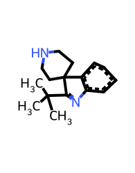 CC(C)(C)C1=Nc2ccccc2C12CCNCC2